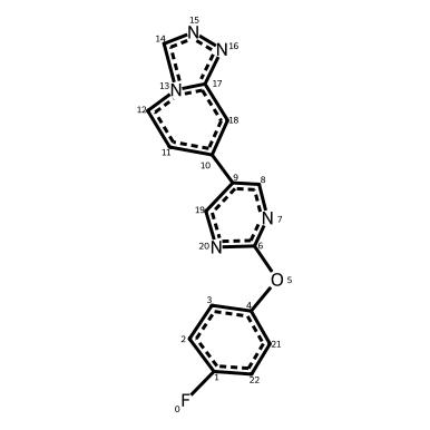 Fc1ccc(Oc2ncc(-c3ccn4cnnc4c3)cn2)cc1